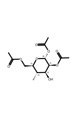 CC(=O)OC[C@H]1O[C@H](OC(C)=O)[C@@H](OC(C)=O)[C@@H](O)[C@@H]1C